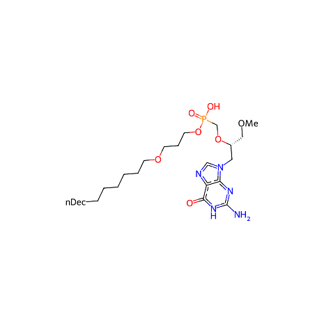 CCCCCCCCCCCCCCCCOCCCOP(=O)(O)CO[C@H](COC)Cn1cnc2c(=O)[nH]c(N)nc21